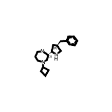 c1ccc(C[C@H]2CNC([C@@H]3CN(C4CCC4)CCC[N]3)C2)cc1